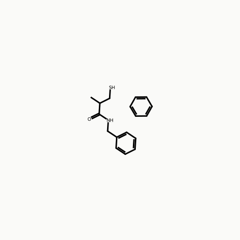 CC(CS)C(=O)NCc1ccccc1.c1ccccc1